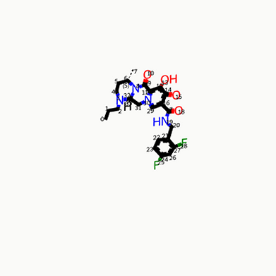 CCCN1CC[C@H](C)N2C(=O)c3c(O)c(=O)c(C(=O)NCc4ccc(F)cc4F)cn3C[C@@H]12